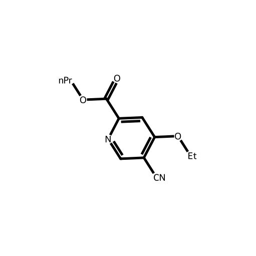 CCCOC(=O)c1cc(OCC)c(C#N)cn1